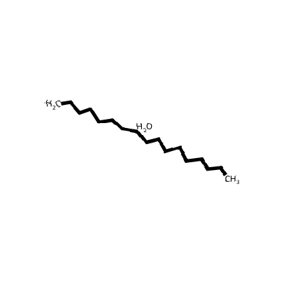 O.[CH2]CCCCCCCCCCCCCCCC